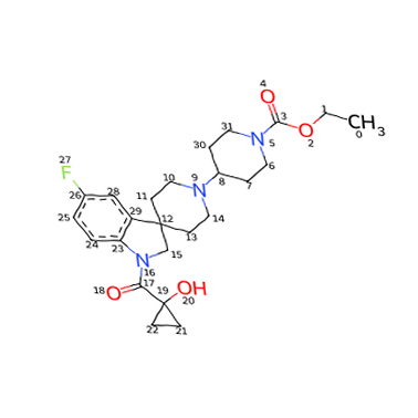 CCOC(=O)N1CCC(N2CCC3(CC2)CN(C(=O)C2(O)CC2)c2ccc(F)cc23)CC1